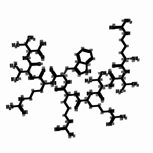 CC(C)[C@H](NC(=O)[C@@H](NC(=O)[C@H](CCCNC(=N)N)NC(=O)[C@H](Cc1c[nH]c2ccccc12)NC(=O)[C@H](CCCNC(=N)N)NC(=O)[C@H](CCCNC(=N)N)NC(=O)[C@@H](NC(=O)[C@@H](NC(=O)[C@@H](N)CCCNC(=N)N)C(C)C)C(C)C)C(C)C)C(=O)O